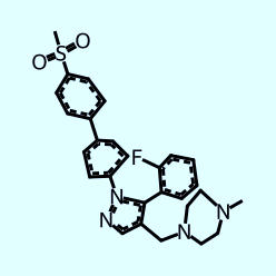 CN1CCN(Cc2cnn(-c3ccc(-c4ccc(S(C)(=O)=O)cc4)cc3)c2-c2ccccc2F)CC1